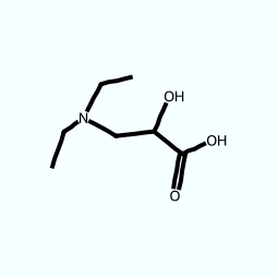 CCN(CC)CC(O)C(=O)O